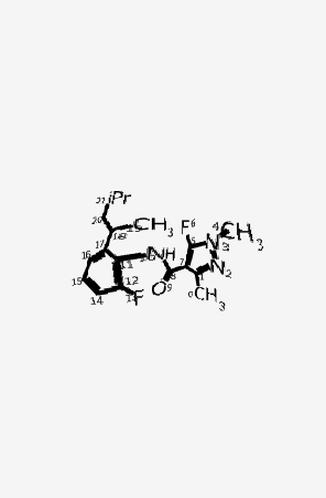 Cc1nn(C)c(F)c1C(=O)Nc1c(F)cccc1C(C)CC(C)C